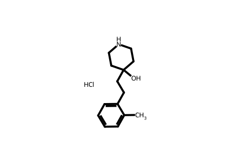 Cc1ccccc1CCC1(O)CCNCC1.Cl